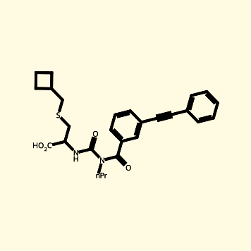 CCCN(C(=O)NC(CSCC1CCC1)C(=O)O)C(=O)c1cccc(C#Cc2ccccc2)c1